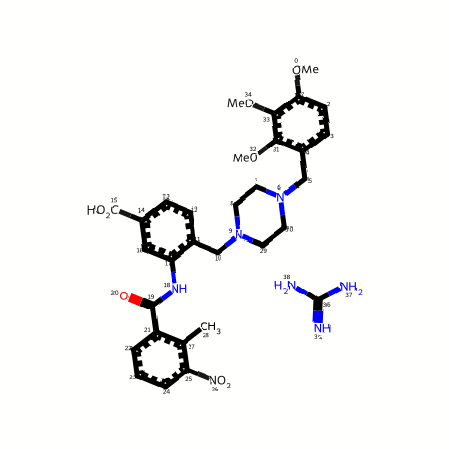 COc1ccc(CN2CCN(Cc3ccc(C(=O)O)cc3NC(=O)c3cccc([N+](=O)[O-])c3C)CC2)c(OC)c1OC.N=C(N)N